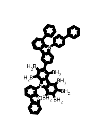 Bc1c(B)c(B)c2c(c1B)c1c(B)c(-c3ccc4c(c3)c3cccc(-c5ccccc5)c3n4-c3ccc(-c4ccccc4)cc3)c(B)c(B)c1n2-c1cccc2c1oc1ccccc12